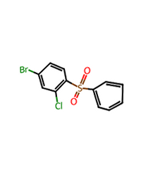 O=S(=O)(c1ccccc1)c1ccc(Br)cc1Cl